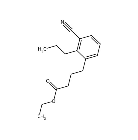 CCCc1c(C#N)cccc1CCCC(=O)OCC